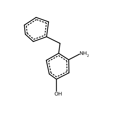 Nc1cc(O)ccc1Cc1ccccc1